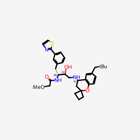 COCC(=O)N[C@H](Cc1cccc(-c2nccs2)c1)[C@@H](O)CN[C@H]1CC2(CCC2)Oc2ccc(CC(C)(C)C)cc21